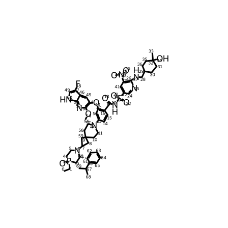 CCP1(=O)CCN(C2CC3(CCN(c4ccc(C(=O)NS(=O)(=O)c5cnc(NCC6CCC(C)(O)CC6)c([N+](=O)[O-])c5)c(Oc5cc6c(F)c[nH]c6nc5OC)c4)CC3)C2)[C@H](c2ccccc2C(C)C)C1